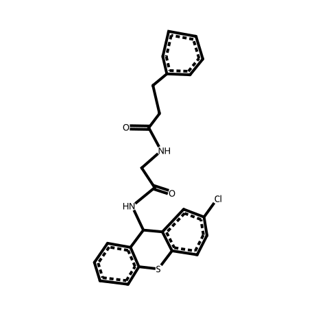 O=C(CCc1ccccc1)NCC(=O)NC1c2ccccc2Sc2ccc(Cl)cc21